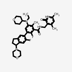 CCN(c1cc(-c2cc3c(cc2F)C(N2CCOCC2)CC3)c(F)c(C(=O)NCc2c(C)cc(C)[nH]c2=O)c1C)C1CCOCC1